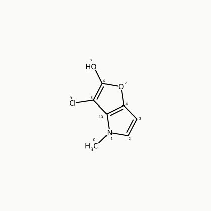 Cn1ccc2oc(O)c(Cl)c21